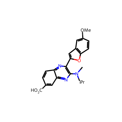 COc1ccc2oc(-c3nc4ccc(C(=O)O)cc4nc3N(C)C(C)C)cc2c1